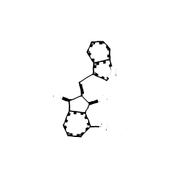 O=C1/C(=C/c2c[nH]c3ccccc23)C(=O)c2c1cccc2[N+](=O)[O-]